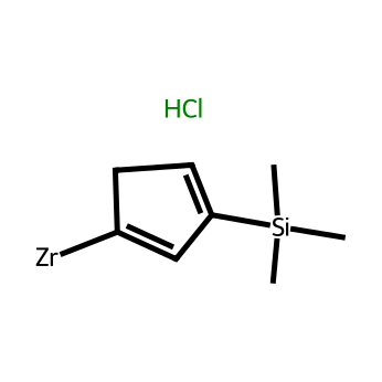 C[Si](C)(C)C1=CC[C]([Zr])=C1.Cl